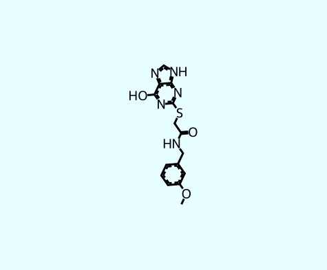 COc1cccc(CNC(=O)CSc2nc(O)c3nc[nH]c3n2)c1